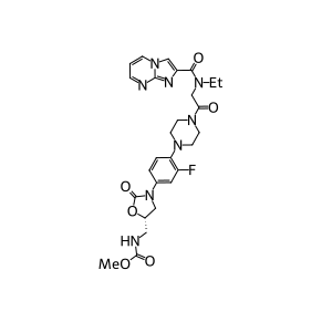 CCN(CC(=O)N1CCN(c2ccc(N3C[C@H](CNC(=O)OC)OC3=O)cc2F)CC1)C(=O)c1cn2cccnc2n1